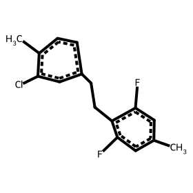 Cc1cc(F)c(CCc2ccc(C)c(Cl)c2)c(F)c1